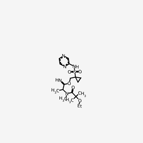 CCOC(C)(C)C(=O)N(C)C(C)C(=N)OCC1(S(=O)(=O)Nc2cnccn2)CC1